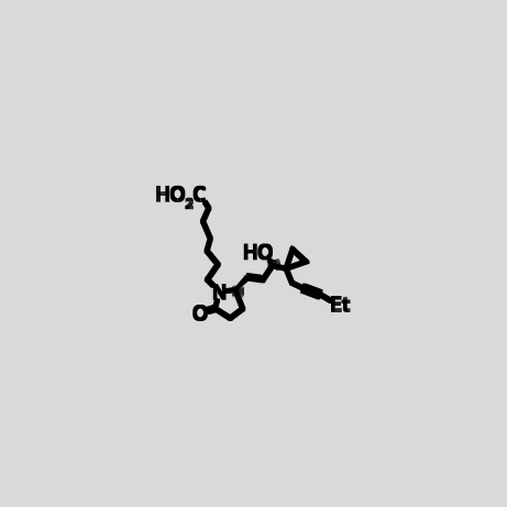 CCC#CCC1([C@H](O)C=C[C@H]2CCC(=O)N2CCCCCCC(=O)O)CC1